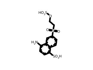 Nc1ccc(S(=O)(=O)O)c2ccc(S(=O)(=O)CCOS(=O)(=O)O)cc12